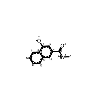 CNC(=O)c1cc([O])c2ccccc2c1